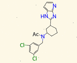 CC(=O)N(Cc1cc(Cl)cc(Cl)c1)C1CCCC(c2nc3ncccc3[nH]2)C1